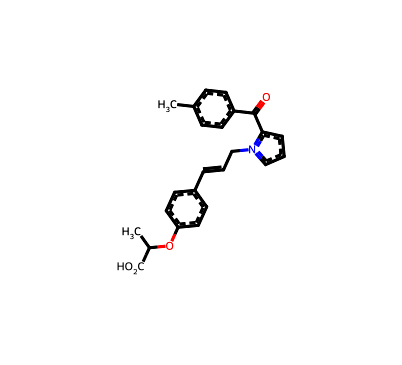 Cc1ccc(C(=O)c2cccn2C/C=C/c2ccc(OC(C)C(=O)O)cc2)cc1